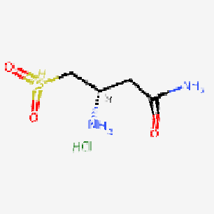 Cl.NC(=O)C[C@H](N)C[SH](=O)=O